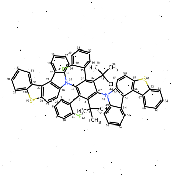 CC(C)(C)c1c(-c2ccccc2F)c(-n2c3ccccc3c3c4c(ccc32)sc2ccccc24)c(-c2ccccc2F)c(C(C)(C)C)c1-n1c2ccccc2c2c3c(ccc21)sc1ccccc13